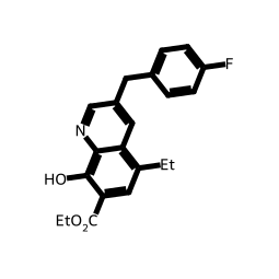 CCOC(=O)c1cc(CC)c2cc(Cc3ccc(F)cc3)cnc2c1O